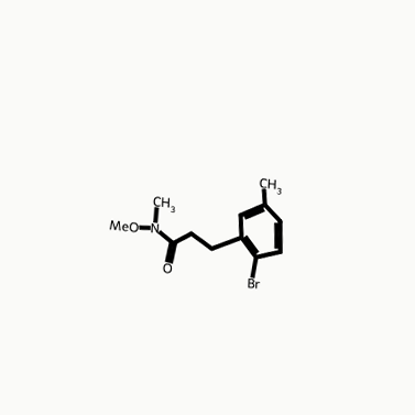 CON(C)C(=O)CCc1cc(C)ccc1Br